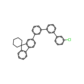 Clc1cccc(-c2cccc(-c3cccc(-c4ccc5c(c4)C4(CCCCC4)c4ccccc4-5)c3)c2)c1